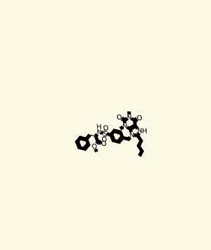 CCCCC1Nc2c(n(C)c(=O)n(C)c2=O)N1Cc1ccc(S(=O)(=O)N[C@@H](Cc2ccccc2)C(=O)OC)cc1